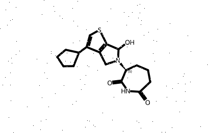 O=C1CCC[C@H](N2Cc3c(C4CCCC4)csc3C2O)C(=O)N1